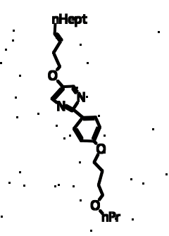 CCCCCCCC=CCCOc1cnc(-c2ccc(OCCCCOCCC)cc2)nc1